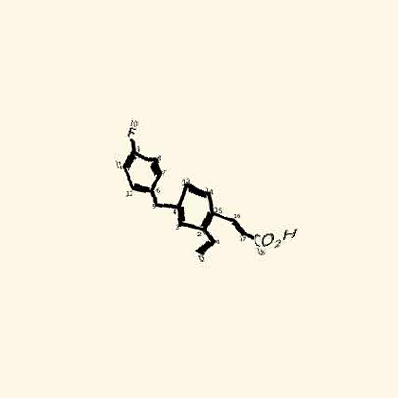 C=Cc1cc(Cc2ccc(F)cc2)ccc1/C=C/C(=O)O